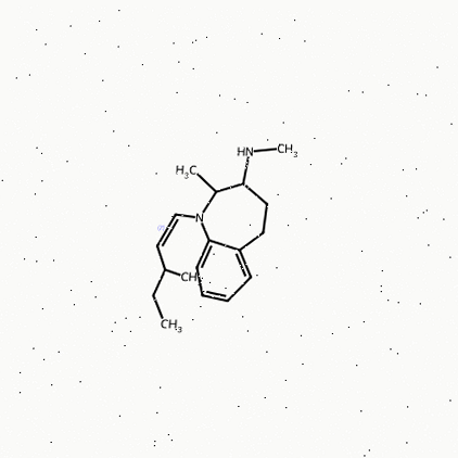 CCC(C)/C=C\N1c2ccccc2CCC(NC)C1C